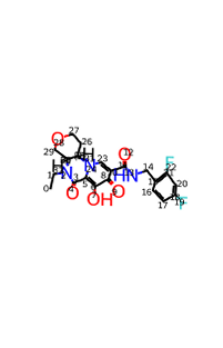 CCN1C(=O)c2c(O)c(=O)c(C(=O)NCc3ccc(F)cc3F)cn2[C@H]2CCOC[C@H]21